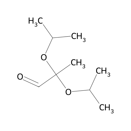 CC(C)OC(C)(C=O)OC(C)C